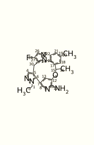 CCn1ncc2c1-c1cnc(N)c(c1)OC(C)c1cc(C)ccc1-n1ncc(F)c1C2